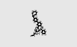 C=CCNC(=O)Cn1c(-c2ccccc2)nc2ccc(-c3ccc(CN4CCCCC4)cc3)cc2c1=O